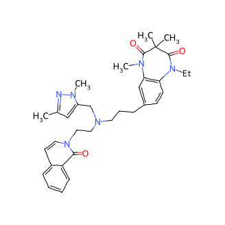 CCN1C(=O)C(C)(C)C(=O)N(C)c2cc(CCCN(CCn3ccc4ccccc4c3=O)Cc3cc(C)nn3C)ccc21